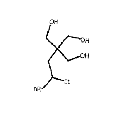 CCCC(CC)CC(CO)(CO)CO